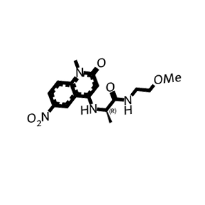 COCCNC(=O)[C@@H](C)Nc1cc(=O)n(C)c2ccc([N+](=O)[O-])cc12